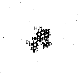 CCOc1cc(C(Nc2ccc(C(=N)N)cc2)C(=O)NNc2ccc(Cl)nn2)ccc1OC(C)C.O=C(O)C(F)(F)F